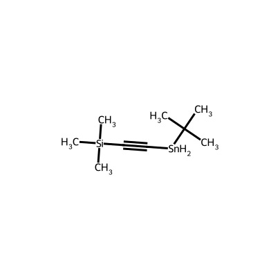 C[C](C)(C)[SnH2][C]#C[Si](C)(C)C